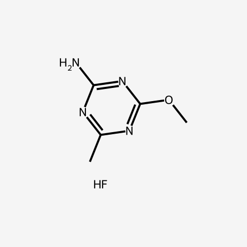 COc1nc(C)nc(N)n1.F